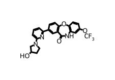 O=C1Nc2cc(OC(F)(F)F)ccc2Oc2ccc(-c3cccc(N4CCC(O)C4)n3)cc21